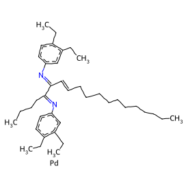 CCCCCCCCCCCC=CC(=Nc1ccc(CC)c(CC)c1)C(CCCC)=Nc1ccc(CC)c(CC)c1.[Pd]